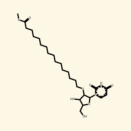 COC(=O)CCCCCCCCCCCCCCCOC1C(O)C(CO)OC1n1ccc(=O)[nH]c1=O